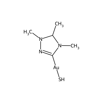 CC1N(C)N=[C]([Au][SH])N1C